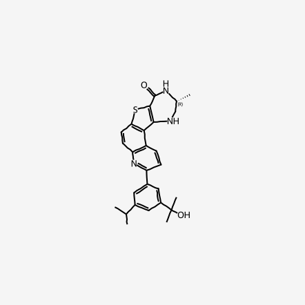 CC(C)c1cc(-c2ccc3c(ccc4sc5c(c43)NC[C@@H](C)NC5=O)n2)cc(C(C)(C)O)c1